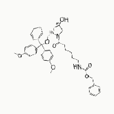 COc1ccc(C(OC[C@@H]2C[C@@H](O)CN2C(=O)CCCCCNC(=O)OCc2ccccc2)(c2ccccc2)c2ccc(OC)cc2)cc1